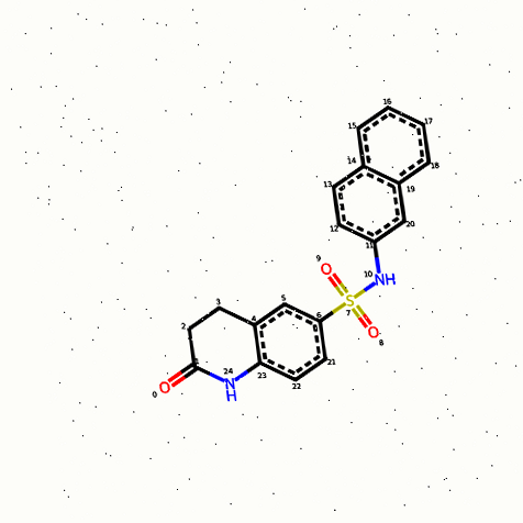 O=C1CCc2cc(S(=O)(=O)Nc3ccc4ccccc4c3)ccc2N1